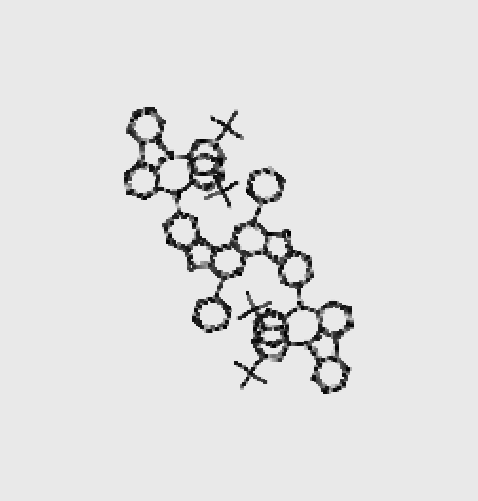 CC(C)(C)c1cc(-n2c3ccccc3c3cccc(N(c4ccccc4)c4ccc5oc6c(-c7ccccc7)cc7c(cc(-c8ccccc8)c8oc9ccc(N(c%10ccccc%10)c%10cccc%11c%12ccccc%12n(-c%12cc(C(C)(C)C)cc(C(C)(C)C)c%12)c%10%11)cc9c87)c6c5c4)c32)cc(C(C)(C)C)c1